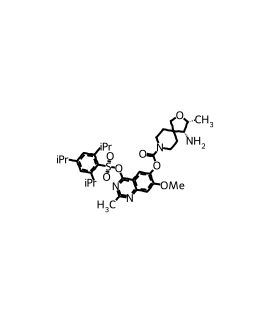 COc1cc2nc(C)nc(OS(=O)(=O)c3c(C(C)C)cc(C(C)C)cc3C(C)C)c2cc1OC(=O)N1CCC2(CC1)CO[C@H](C)[C@@H]2N